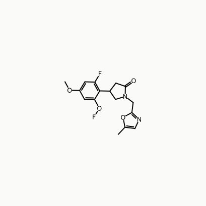 COc1cc(F)c(C2CC(=O)N(Cc3ncc(C)o3)C2)c(OF)c1